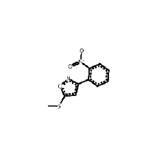 CSc1cc(-c2ccccc2[N+](=O)[O-])no1